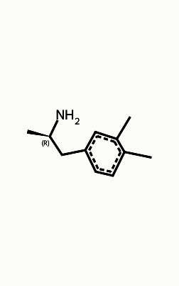 Cc1ccc(C[C@@H](C)N)cc1C